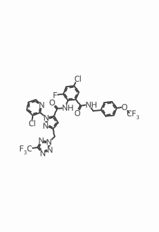 O=C(NCc1ccc(OC(F)(F)F)cc1)c1cc(Cl)cc(F)c1NC(=O)c1cc(Cn2nnc(C(F)(F)F)n2)nn1-c1ncccc1Cl